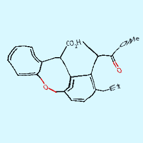 CCc1ccc2c(c1C(C)C(=O)OC)C(C(=O)O)c1ccccc1O2